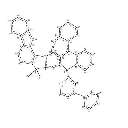 C[Si]1(C)c2cc(N(c3cccc(-c4ccccc4)c3)c3ccccc3-c3cccc4ccccc34)ccc2-c2c1ccc1c2oc2ccccc21